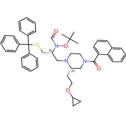 CC(C)(C)ON(C=O)[C@@H](CSC(c1ccccc1)(c1ccccc1)c1ccccc1)CN1CCN(C(=O)c2cccc3ccccc23)C[C@@H]1CCOC1CC1